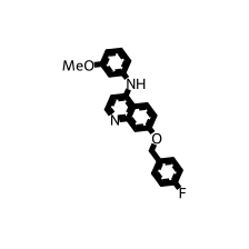 COc1cccc(Nc2ccnc3cc(OCc4ccc(F)cc4)ccc23)c1